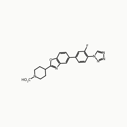 O=C(O)N1CCC(c2nc3cc(-c4ccc(-n5cnnn5)c(F)c4)ccc3o2)CC1